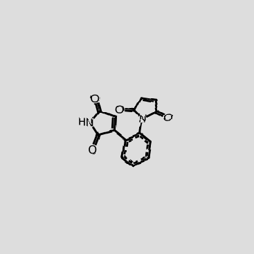 O=C1C=C(c2ccccc2N2C(=O)C=CC2=O)C(=O)N1